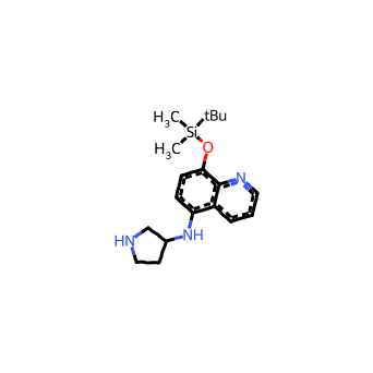 CC(C)(C)[Si](C)(C)Oc1ccc(NC2CCNC2)c2cccnc12